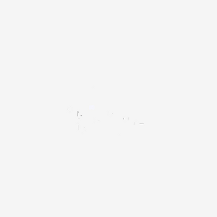 CO/C(=C\[N+](=O)[O-])C(Oc1ccccc1OC)c1ccccc1